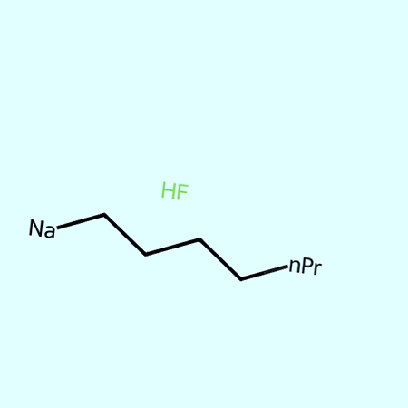 CCCCCC[CH2][Na].F